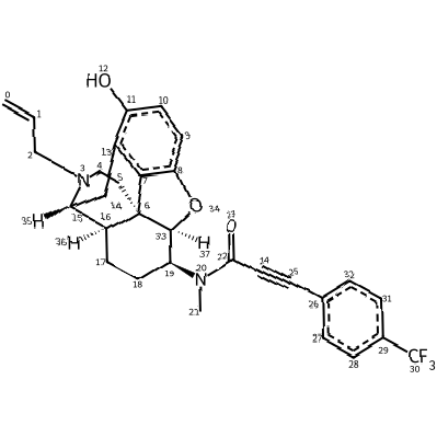 C=CCN1CC[C@@]23c4c5ccc(O)c4C[C@@H]1[C@@H]2CC[C@H](N(C)C(=O)C#Cc1ccc(C(F)(F)F)cc1)[C@@H]3O5